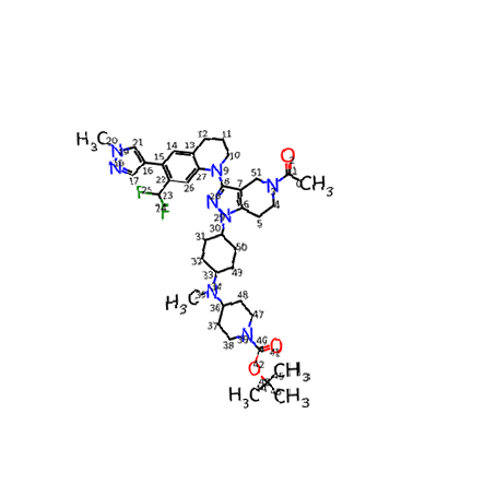 CC(=O)N1CCc2c(c(N3CCCc4cc(-c5cnn(C)c5)c(C(F)F)cc43)nn2C2CCC(N(C)C3CCN(C(=O)OC(C)(C)C)CC3)CC2)C1